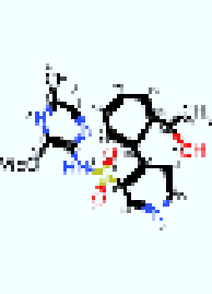 COc1nc(C)cnc1NS(=O)(=O)c1cnccc1-c1ccccc1C(C)O